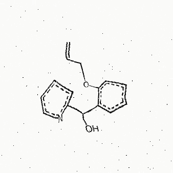 C=CCOc1ccccc1C(O)c1ccccn1